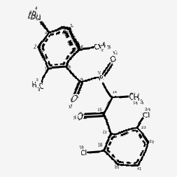 Cc1cc(C(C)(C)C)cc(C)c1C(=O)[P](=O)C(C)C(=O)c1c(Cl)cccc1Cl